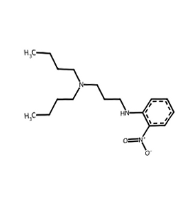 CCCCN(CCCC)CCCNc1ccccc1[N+](=O)[O-]